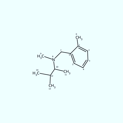 Cc1ccccc1CN(C)C(C)C(C)C